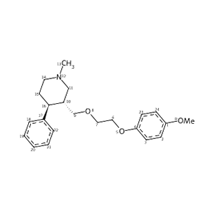 COc1ccc(OCCOC[C@H]2CN(C)CC[C@@H]2c2ccccc2)cc1